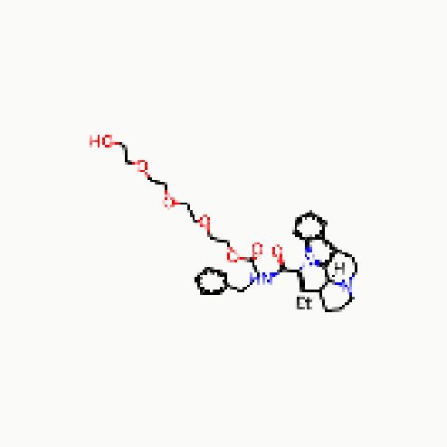 CC[C@@]12C=C(C(=O)N[C@@H](Cc3ccccc3)C(=O)OCCOCCOCCOCCO)n3c4c(c5ccccc53)CCN(CCC1)[C@H]42